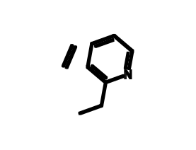 C=C.CCc1ccccn1